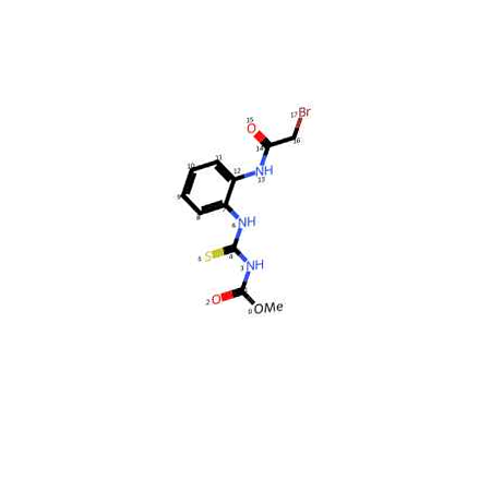 COC(=O)NC(=S)Nc1ccccc1NC(=O)CBr